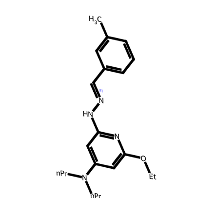 CCCN(CCC)c1cc(N/N=C/c2cccc(C)c2)nc(OCC)c1